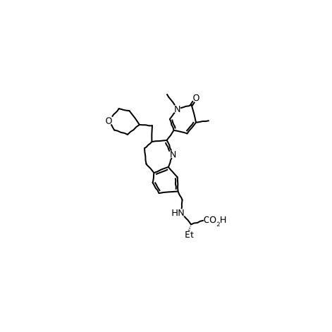 CC[C@H](NCc1ccc2c(c1)N=C(c1cc(C)c(=O)n(C)c1)C(CC1CCOCC1)CC2)C(=O)O